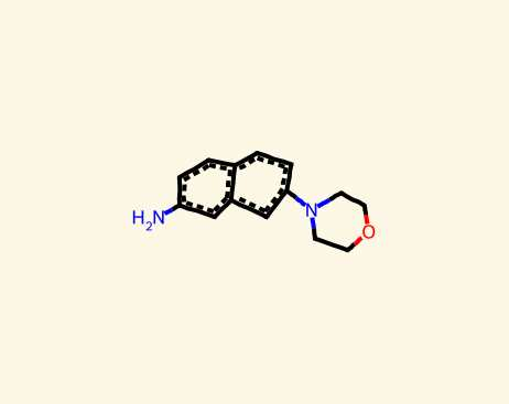 Nc1ccc2ccc(N3CCOCC3)cc2c1